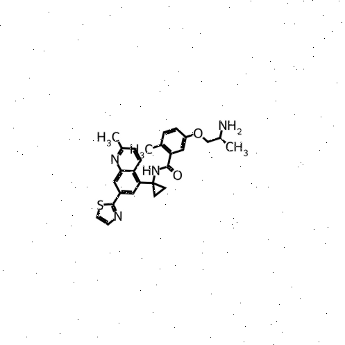 Cc1ccc2c(C3(NC(=O)c4cc(OC[C@H](C)N)ccc4C)CC3)cc(-c3nccs3)cc2n1